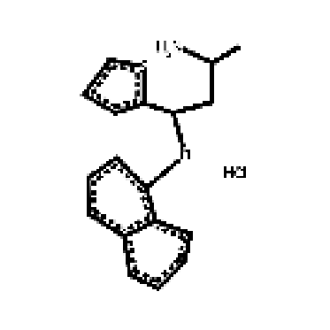 CC(N)CC(Oc1cccc2ccccc12)c1cccs1.Cl